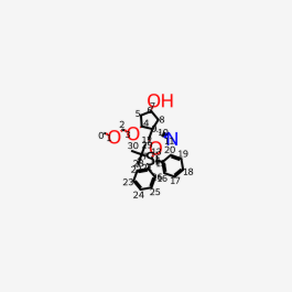 COCO[C@@H]1C[C@H](O)C[C@@]1(C#N)CO[Si](c1ccccc1)(c1ccccc1)C(C)(C)C